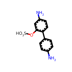 Nc1ccc(-c2ccc(N)cc2OS(=O)(=O)O)cc1